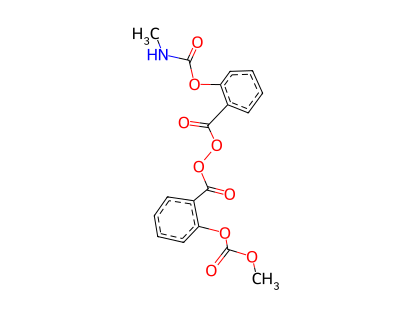 CNC(=O)Oc1ccccc1C(=O)OOC(=O)c1ccccc1OC(=O)OC